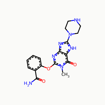 Cn1c(Oc2ccccc2C(N)=O)nc2nc(N3CCNCC3)[nH]c2c1=O